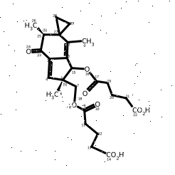 CC1=C2C(=C[C@@](C)(COC(=O)CCCC(=O)O)C2OC(=O)CCCC(=O)O)C(=O)[C@@H](C)C12CC2